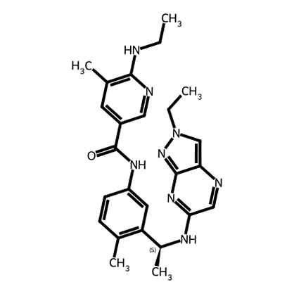 CCNc1ncc(C(=O)Nc2ccc(C)c([C@H](C)Nc3cnc4cn(CC)nc4n3)c2)cc1C